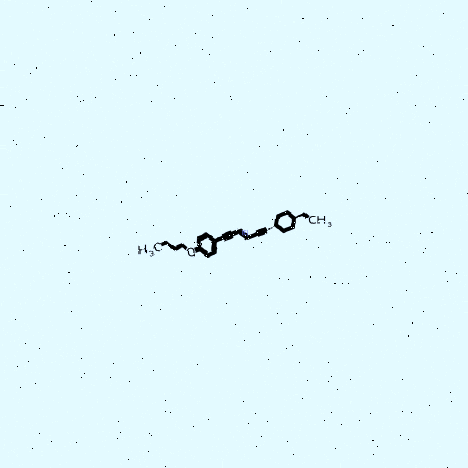 CCCCOc1ccc(C#C/C=C/C#C[C@H]2CC[C@H](CC)CC2)cc1